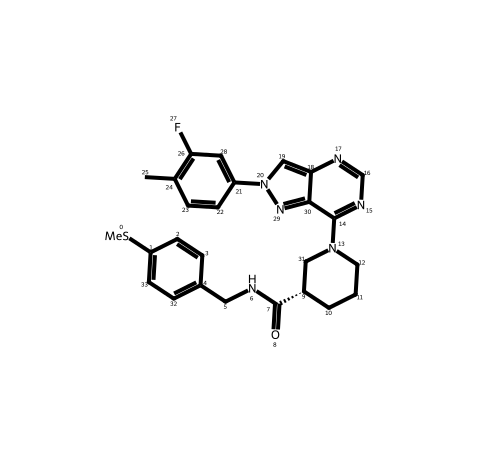 CSc1ccc(CNC(=O)[C@H]2CCCN(c3ncnc4cn(-c5ccc(C)c(F)c5)nc34)C2)cc1